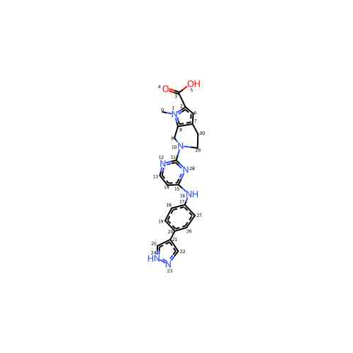 Cn1c(C(=O)O)cc2c1CN(c1nccc(Nc3ccc(-c4cn[nH]c4)cc3)n1)CC2